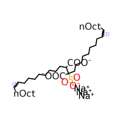 CCCCCCCC/C=C\CCCCCCCCC(C(=O)[O-])C(CCCCCCCC/C=C\CCCCCCCC)(C(=O)[O-])S(=O)(=O)[O-].[Na+].[Na+].[Na+]